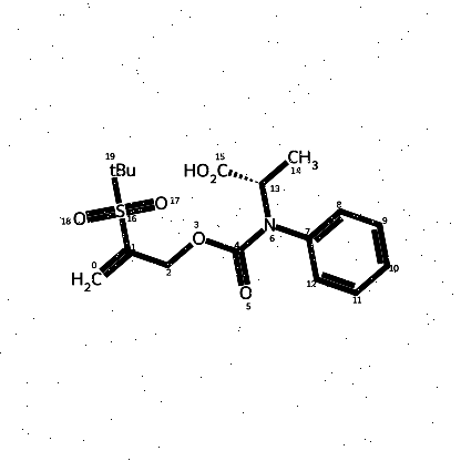 C=C(COC(=O)N(c1ccccc1)[C@@H](C)C(=O)O)S(=O)(=O)C(C)(C)C